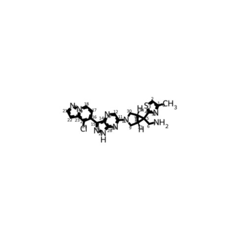 Cc1csc(C2(CN)[C@@H]3CN(c4cnc5c(-c6ccn7nccc7c6Cl)n[nH]c5n4)C[C@@H]32)n1